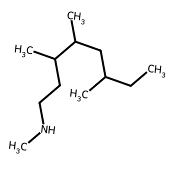 CCC(C)CC(C)C(C)CCNC